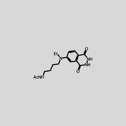 CCN(CCCCNC(C)=O)c1ccc2c(=O)[nH][nH]c(=O)c2c1